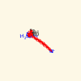 CC(C)(C)[Si](C)(C)OC[C@H]1O[C@@H](n2cnc3c(N)ncnc32)[C@H](OCC(=O)NCCOCCOCCOCCOCCOCCOCCOCCOCCOCCOCCN=[N+]=[N-])[C@@H]1O[Si](C)(C)C(C)(C)C